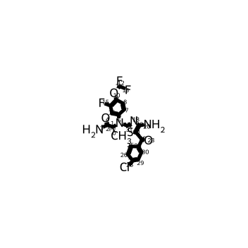 C[C@H](C(N)=O)N(c1ccc(OC(F)F)c(F)c1)c1nc(N)c(C(=O)c2ccc(Cl)cc2)s1